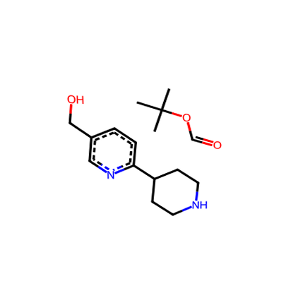 CC(C)(C)OC=O.OCc1ccc(C2CCNCC2)nc1